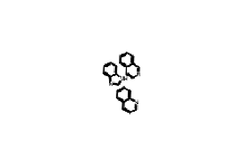 c1ccc2[nH]cnc2c1.c1ccc2cnccc2c1.c1ccc2ncccc2c1